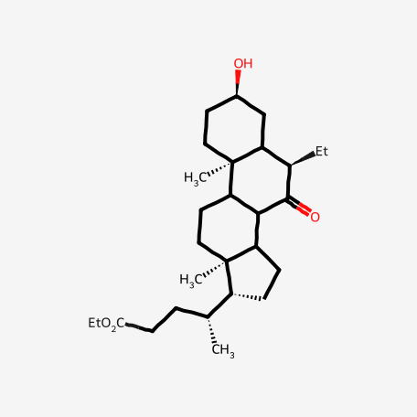 CCOC(=O)CC[C@@H](C)[C@H]1CCC2C3C(=O)[C@H](CC)C4C[C@H](O)CC[C@]4(C)C3CC[C@@]21C